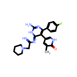 Cc1cc(-c2c(-c3ccc(F)cc3)nc(N)[nH]/c2=N\C(=N)CN2CCCCC2)c[nH]c1=O